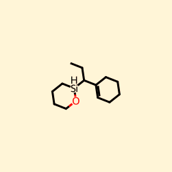 CCC(C1=CCCCC1)[SiH]1CCCCO1